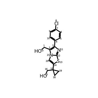 OCc1c(-c2ccc(Cl)cc2)nc2sc(C3(CO)CC3)cn12